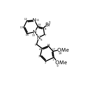 COc1ccc(CN2CC(Br)=C3N=CC=CN32)cc1OC